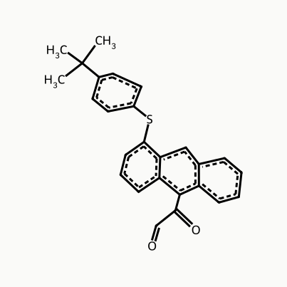 CC(C)(C)c1ccc(Sc2cccc3c(C(=O)C=O)c4ccccc4cc23)cc1